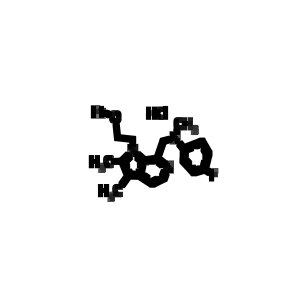 CCOCCn1c(C)c(C)c2ccnc(CN(C)c3ccc(F)cc3)c21.Cl